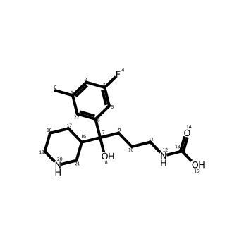 Cc1cc(F)cc(C(O)(CCCNC(=O)O)C2CCCNC2)c1